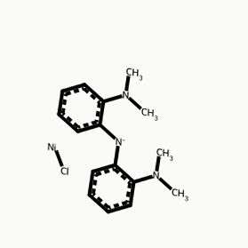 CN(C)c1ccccc1[N-]c1ccccc1N(C)C.[Cl][Ni]